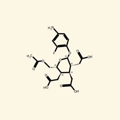 CC(=O)OC[C@@H]1O[C@@H](Oc2ccc(N)cc2F)[C@H](CC(=O)O)[C@@H](CC(=O)O)[C@H]1CC(=O)O